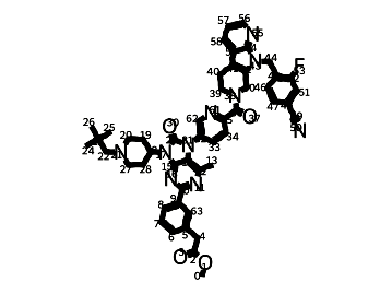 COC(=O)Cc1cccc(-c2nc(C)c3c(n2)n(C2CCN(CC(C)(C)C)CC2)c(=O)n3-c2ccc(C(=O)N3CCc4c(n(Cc5ccc(C#N)cc5F)c5ncccc45)C3)nc2)c1